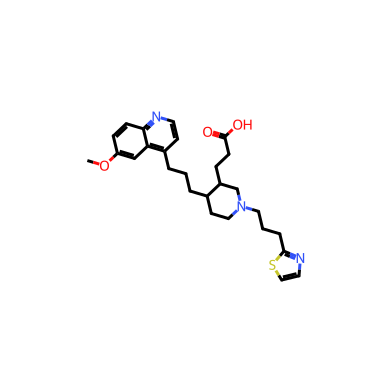 COc1ccc2nccc(CCCC3CCN(CCCc4nccs4)CC3CCC(=O)O)c2c1